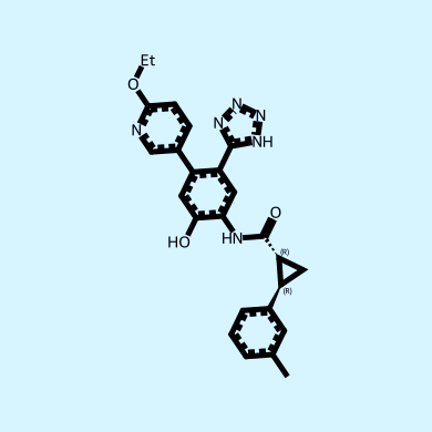 CCOc1ccc(-c2cc(O)c(NC(=O)[C@@H]3C[C@H]3c3cccc(C)c3)cc2-c2nnn[nH]2)cn1